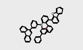 c1ccc(-c2cccc(N(c3cccc(-c4cc5ccccc5c5ccccc45)c3)c3cccc(-c4cccc5c4oc4ccccc45)c3-c3ccccc3)c2)cc1